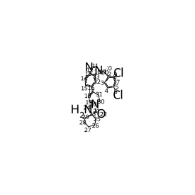 C[C@H](c1ccc(Cl)cc1Cl)n1cnc2ccc(C3=CCN(C(=O)C4(N)CCCCC4)CC3)cc21